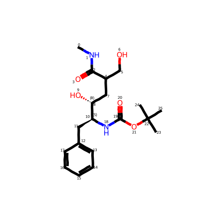 CNC(=O)C(CO)C[C@@H](O)[C@H](Cc1ccccc1)NC(=O)OC(C)(C)C